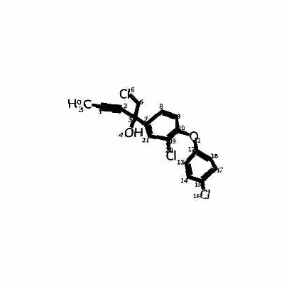 CC#CC(O)(CCl)c1ccc(Oc2ccc(Cl)cc2)c(Cl)c1